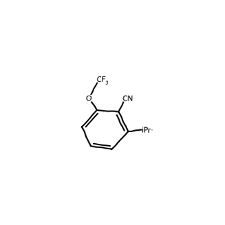 C[C](C)c1cccc(OC(F)(F)F)c1C#N